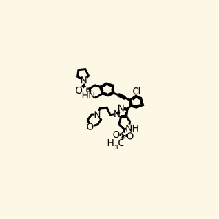 CS(=O)(=O)C1Cc2c(c(-c3cccc(Cl)c3C#Cc3ccc4c(c3)CN[C@H](C(=O)N3CCCC3)C4)nn2CCCN2CCOCC2)CN1